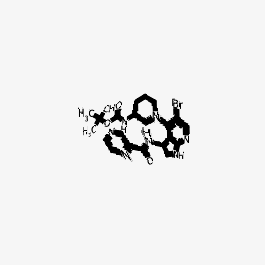 CC(C)(C)OC(=O)NC1CCCN(c2c(Br)cnc3[nH]cc(NC(=O)c4cnccn4)c23)C1